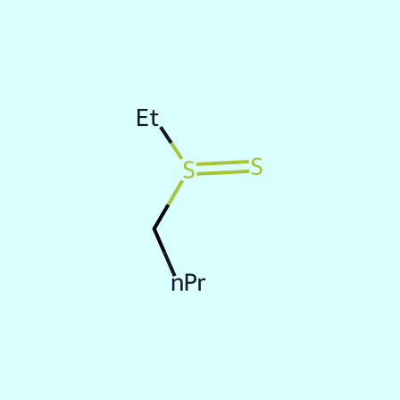 CCCCS(=S)CC